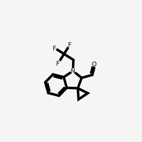 O=CC1N(CC(F)(F)F)c2ccccc2C12CC2